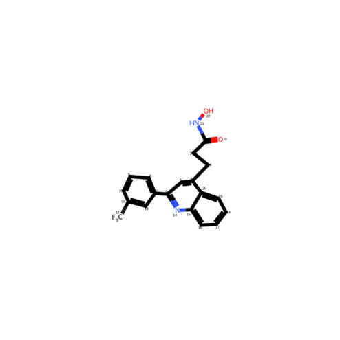 O=C(CCc1cc(-c2cccc(C(F)(F)F)c2)nc2ccccc12)NO